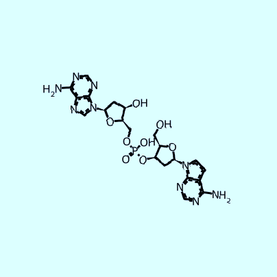 Nc1ncnc2c1ccn2[C@H]1C[C@@H](OP(=O)(O)OC[C@H]2O[C@@H](n3cnc4c(N)ncnc43)C[C@H]2O)[C@@H](CO)O1